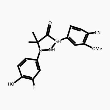 COc1cc([SH]2NN(c3ccc(O)c(F)c3)C(C)(C)C2=O)ccc1C#N